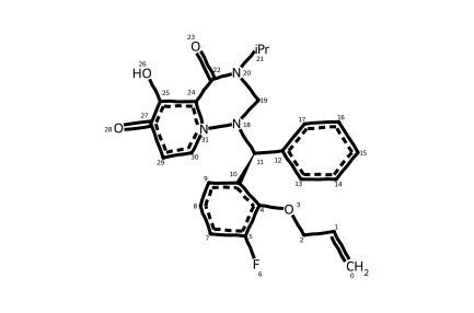 C=CCOc1c(F)cccc1[C@H](c1ccccc1)N1CN(C(C)C)C(=O)c2c(O)c(=O)ccn21